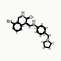 O=C1NCc2c(Br)cccc2C1=CNc1ccc(CN2CCCC2)cc1